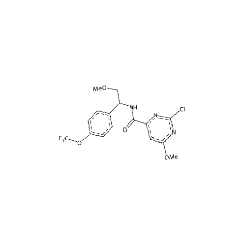 COCC(NC(=O)c1cc(OC)nc(Cl)n1)c1ccc(OC(F)(F)F)cc1